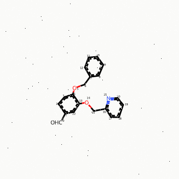 O=Cc1ccc(OCc2ccccc2)c(OCc2ccccn2)c1